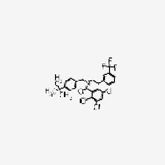 CC(C)(C)c1ccc(CN(CCc2cccc(C(F)(F)F)c2)C(=O)c2cc(Cl)cc(Cl)c2Cl)cc1